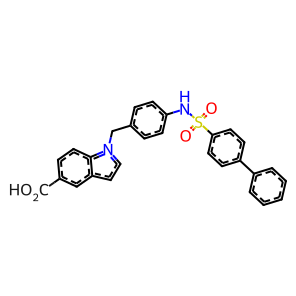 O=C(O)c1ccc2c(ccn2Cc2ccc(NS(=O)(=O)c3ccc(-c4ccccc4)cc3)cc2)c1